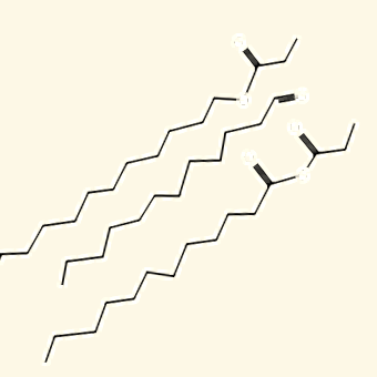 CCCCCCCCCCCC(=O)OC(=O)CC.CCCCCCCCCCCC=O.CCCCCCCCCCCCOC(=O)CC